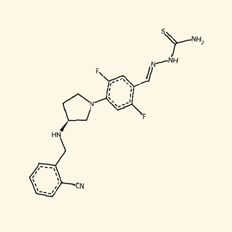 N#Cc1ccccc1CN[C@H]1CCN(c2cc(F)c(/C=N/NC(N)=S)cc2F)C1